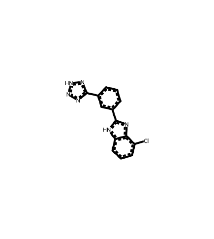 Clc1cccc2[nH]c(-c3cccc(-c4nn[nH]n4)c3)nc12